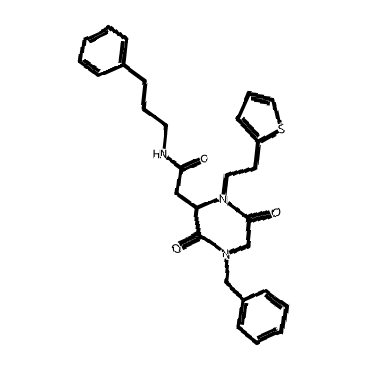 O=C(CC1C(=O)N(Cc2ccccc2)CC(=O)N1CCc1cccs1)NCCCc1ccccc1